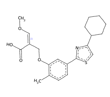 CO/C=C(/COc1cc(-c2nc(C3CCCCC3)cs2)ccc1C)C(=O)O